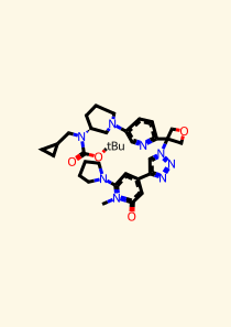 Cn1c(N2CCCC2)cc(-c2cn(C3(c4ccc(N5CCC[C@@H](N(CC6CC6)C(=O)OC(C)(C)C)C5)cn4)COC3)nn2)cc1=O